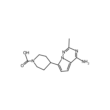 Cc1nc(N)c2ccc(C3CCN(C(=O)O)CC3)n2n1